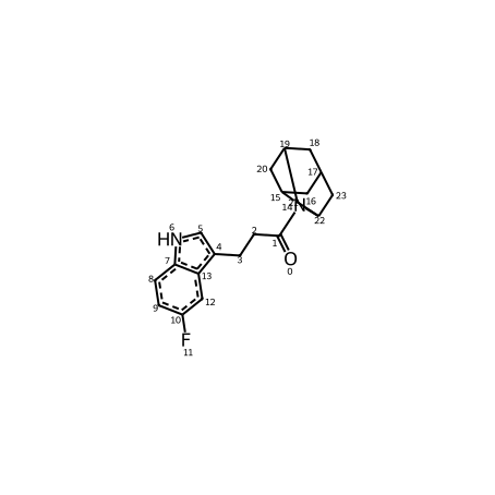 O=C(CCc1c[nH]c2ccc(F)cc12)N1C2CC3CC(C2)CC1C3